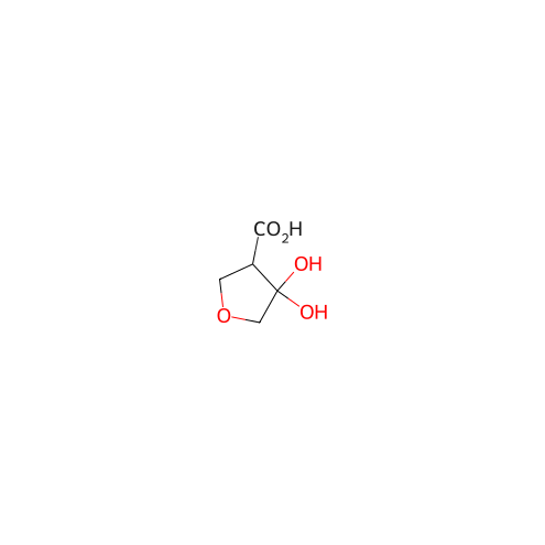 O=C(O)C1COCC1(O)O